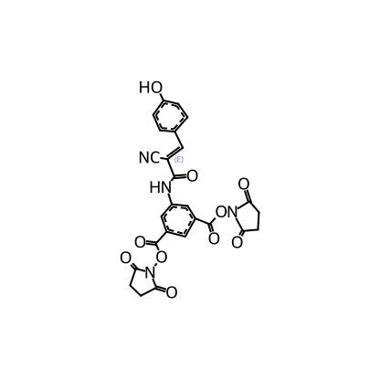 N#C/C(=C\c1ccc(O)cc1)C(=O)Nc1cc(C(=O)ON2C(=O)CCC2=O)cc(C(=O)ON2C(=O)CCC2=O)c1